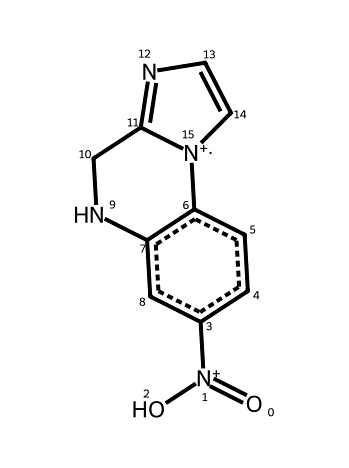 O=[N+](O)c1ccc2c(c1)NCC1=NC=C[N+]12